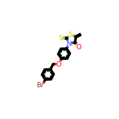 C=C1SC(=S)N(c2ccc(OCc3ccc(Br)cc3)cc2)C1=O